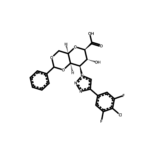 O=C(O)[C@@H]1O[C@@H]2COC(c3ccccc3)O[C@@H]2[C@H](n2cc(-c3cc(F)c(Cl)c(F)c3)nn2)[C@H]1O